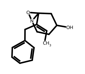 CC=C(Cc1ccccc1)C12CC(O)CCN1O2